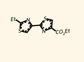 CCOC(=O)c1csc(-c2csc(CC)n2)n1